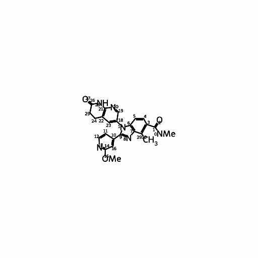 CNC(=O)c1ccc2c(nc(-c3ccnc(OC)c3)n2-c2cnc3c(c2)CCC(=O)N3)c1C